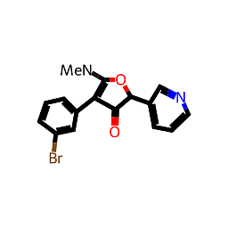 CNC1=C(c2cccc(Br)c2)C(=O)C(c2cccnc2)O1